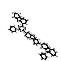 c1ccc(-c2nc(-c3ccc4c(c3)sc3cc(-c5ccc6c7ccccc7n(-c7ccccc7)c6c5)ccc34)nc(-c3cccc4c3oc3ccccc34)n2)cc1